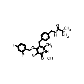 Cc1[nH]c(=O)c(Br)c(OCc2ccc(F)cc2F)c1Cc1ccc(CNC(=O)[C@H](C)N)cc1.Cl